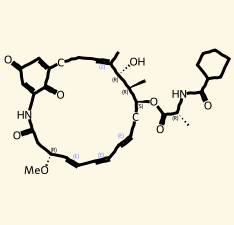 CO[C@H]1/C=C/C=C/C=C/C[C@H](OC(=O)[C@@H](C)NC(=O)C2CCCCC2)[C@H](C)[C@@H](O)/C(C)=C\CCC2=CC(=O)C=C(NC(=O)C1)C2=O